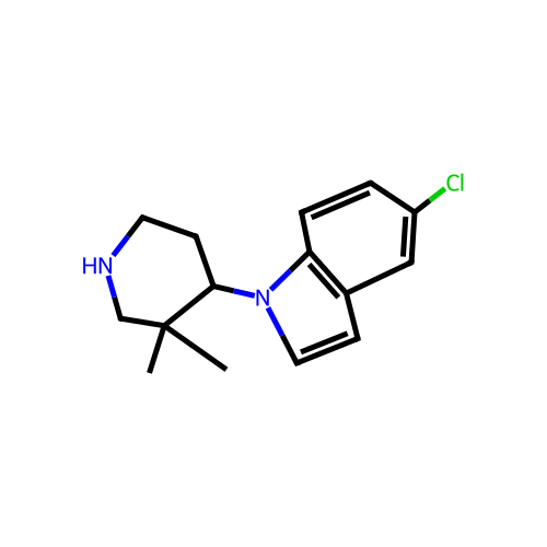 CC1(C)CNCCC1n1ccc2cc(Cl)ccc21